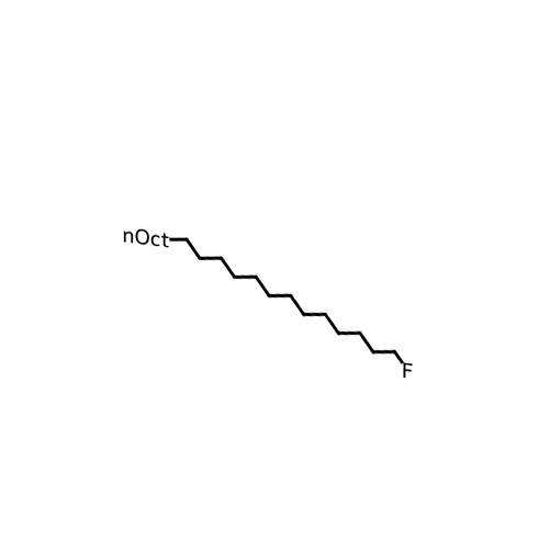 CCCCCCCCCCCCCCCCCCCCCF